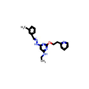 CCNc1cc(N/N=C/c2cccc(C)c2)nc(OCCc2ccccn2)n1